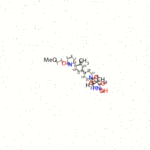 COCCOc1cccc(-c2ccc(C3CCN(S(=O)(=O)C(C)(C)C(=O)NO)CC3)cc2C)n1